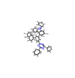 c1ccc(-c2nc(-c3ccccc3)nc(-c3cccc(-c4cccc5c4c4cc(-c6cccc7ccccc67)ccc4n5-c4ccccc4)c3)n2)cc1